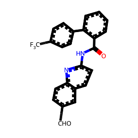 O=Cc1ccc2nc(NC(=O)c3ccccc3-c3ccc(C(F)(F)F)cc3)ccc2c1